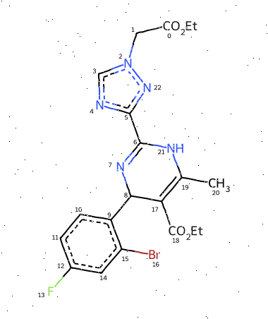 CCOC(=O)Cn1cnc(C2=NC(c3ccc(F)cc3Br)C(C(=O)OCC)=C(C)N2)n1